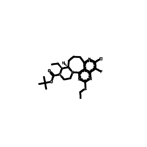 CCSc1nc2c3c(nc(Cl)c(F)c3n1)CCC[C@@H]1[C@H](CC)N(C(=O)OC(C)(C)C)CCN21